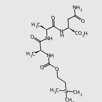 C[C@H](NC(=O)OCC[Si](C)(C)C)C(=O)N[C@@H](C)C(=O)N[C@@H](CC(N)=O)C(=O)O